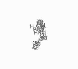 CC(NC(=O)Nc1cc(OCCCS(=O)(=O)c2ccccc2)c(Cl)cc1Cl)c1ncnn1-c1ncccn1